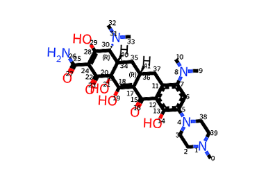 CN1CCN(c2cc(N(C)C)c3c(c2O)C(=O)C2=C(O)[C@]4(O)C(=O)C(C(N)=O)=C(O)[C@H](N(C)C)[C@@H]4C[C@@H]2C3)CC1